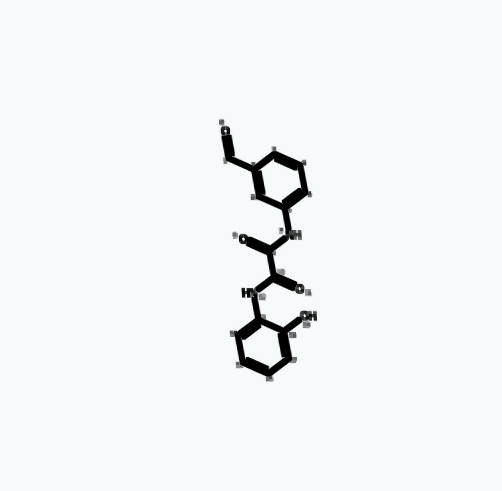 O=Cc1cccc(NC(=O)C(=O)Nc2ccccc2O)c1